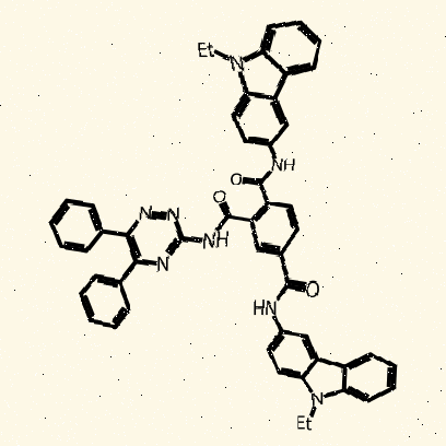 CCn1c2ccccc2c2cc(NC(=O)c3ccc(C(=O)Nc4ccc5c(c4)c4ccccc4n5CC)c(C(=O)Nc4nnc(-c5ccccc5)c(-c5ccccc5)n4)c3)ccc21